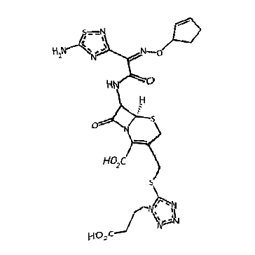 Nc1nc(/C(=N/OC2C=CCC2)C(=O)NC2C(=O)N3C(C(=O)O)=C(CSc4nnnn4CCC(=O)O)CS[C@H]23)ns1